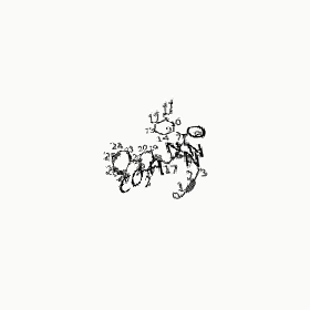 CC#CCn1nc(C(=O)C2CCCCC2)nc1Cc1ccc(-c2ccccc2C(=O)O)cc1